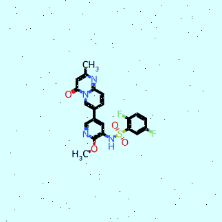 COc1ncc(-c2ccc3nc(C)cc(=O)n3c2)cc1NS(=O)(=O)c1cc(F)ccc1F